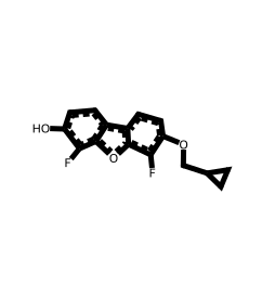 Oc1ccc2c(oc3c(F)c(OCC4CC4)ccc32)c1F